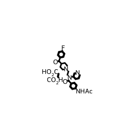 CC(=O)Nc1ccc(C(=O)N(CCN2CCC(C(=O)c3ccc(F)cc3)CC2)c2cccnc2)cc1.O=C(O)C=CC(=O)O